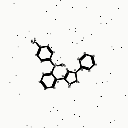 [O-][S+](c1ccc(C(F)(F)F)cc1)c1ccccc1C1=N[C@@H](c2ccccc2)CO1